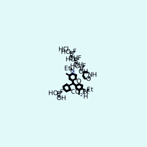 C1=CNOC=C1.CC/N=c1/cc2oc3cc(NCC)c(C)cc3c(-c3ccccc3C(=O)OCC)c-2cc1C.Cl.OB(O)F.OB(O)F.OB(O)F.OB(O)F